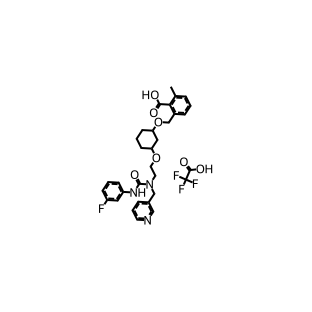 Cc1cccc(COC2CCCC(OCCN(Cc3cccnc3)C(=O)Nc3cccc(F)c3)C2)c1C(=O)O.O=C(O)C(F)(F)F